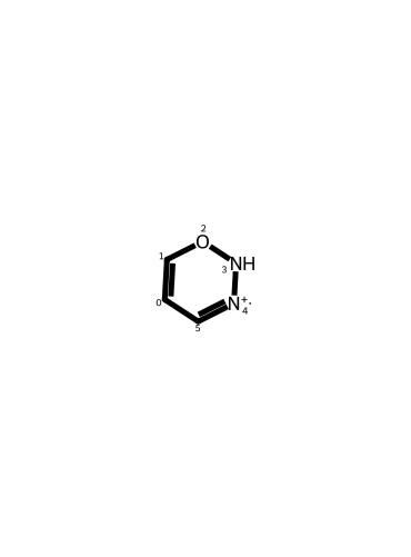 C1=CON[N+]=C1